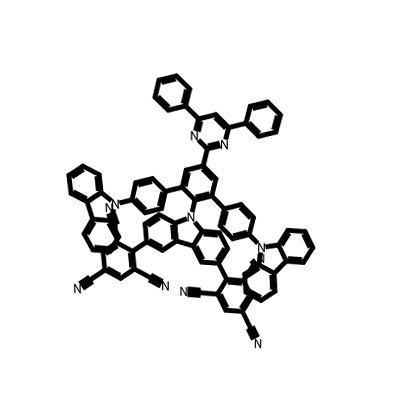 N#Cc1cc(C#N)c(-c2ccc3c(c2)c2cc(-c4c(C#N)cc(C#N)cc4C#N)ccc2n3-c2c(-c3ccc(-n4c5ccccc5c5ccccc54)cc3)cc(-c3nc(-c4ccccc4)cc(-c4ccccc4)n3)cc2-c2ccc(-n3c4ccccc4c4ccccc43)cc2)c(C#N)c1